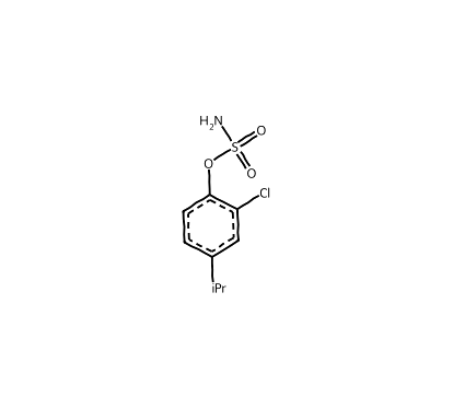 CC(C)c1ccc(OS(N)(=O)=O)c(Cl)c1